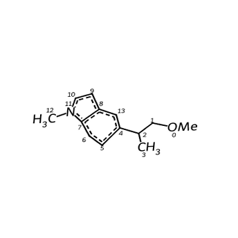 COCC(C)c1ccc2c(ccn2C)c1